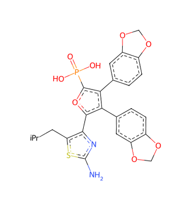 CC(C)Cc1sc(N)nc1-c1oc(P(=O)(O)O)c(-c2ccc3c(c2)OCO3)c1-c1ccc2c(c1)OCO2